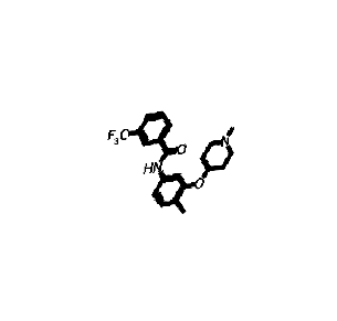 Cc1ccc(NC(=O)c2cccc(C(F)(F)F)c2)cc1OC1CCN(C)CC1